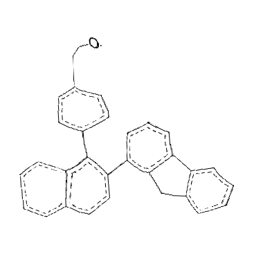 [O]Cc1ccc(-c2c(-c3cccc4c3Cc3ccccc3-4)ccc3ccccc23)cc1